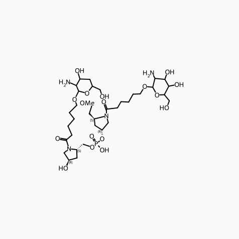 COC[C@@H]1C[C@@H](OP(=O)(O)OC[C@@H]2C[C@@H](O)CN2C(=O)CCCCCOC2OC(CO)CC(O)C2N)CN1C(=O)CCCCCOC1OC(CO)C(O)C(O)C1N